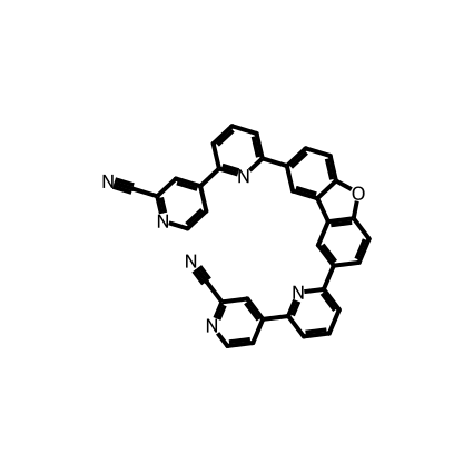 N#Cc1cc(-c2cccc(-c3ccc4oc5ccc(-c6cccc(-c7ccnc(C#N)c7)n6)cc5c4c3)n2)ccn1